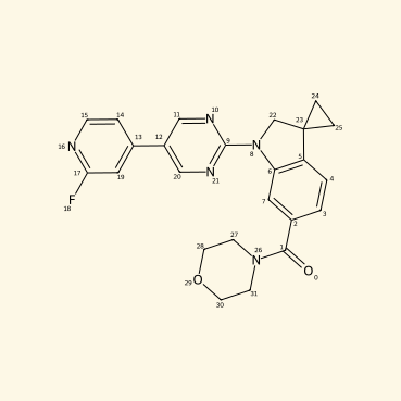 O=C(c1ccc2c(c1)N(c1ncc(-c3ccnc(F)c3)cn1)CC21CC1)N1CCOCC1